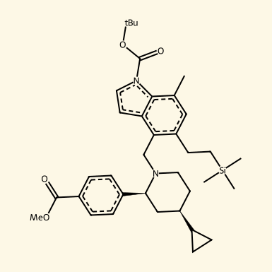 COC(=O)c1ccc([C@@H]2C[C@H](C3CC3)CCN2Cc2c(CC[Si](C)(C)C)cc(C)c3c2ccn3C(=O)OC(C)(C)C)cc1